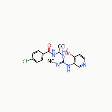 N#C/N=C(/Nc1cnccc1Br)NC(NC(=O)c1ccc(Cl)cc1)C(Cl)(Cl)Cl